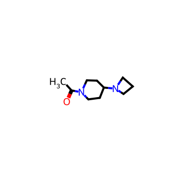 CC(=O)N1CCC(N2CCC2)CC1